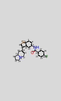 O=C(Nc1ccc2scc(C3=CCN4CCCC4C3)c2c1)c1ccc(F)cc1